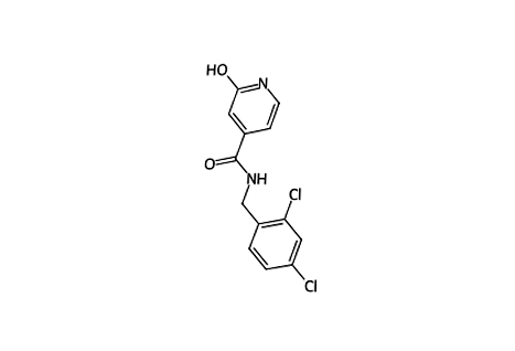 O=C(NCc1ccc(Cl)cc1Cl)c1ccnc(O)c1